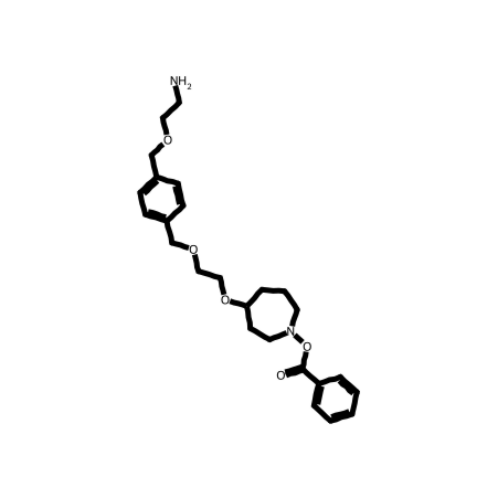 NCCOCc1ccc(COCCOC2CCCN(OC(=O)c3ccccc3)CC2)cc1